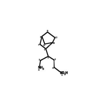 NCC(CCS(=O)(=O)O)C1CC2CCC1C2